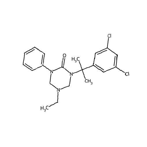 CCN1CN(c2ccccc2)C(=O)N(C(C)(C)c2cc(Cl)cc(Cl)c2)C1